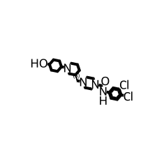 O=C(Nc1ccc(Cl)c(Cl)c1)N1CCN(C[C@@H]2CCCN(C3CCC(O)CC3)C2)CC1